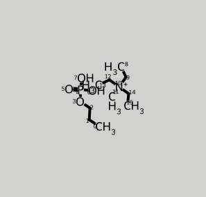 CCCOP(=O)(O)O.CC[N+](C)(CC)CC